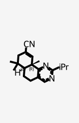 CC(C)c1ncc2c(n1)[C@@]1(C)C=C(C#N)CC(C)(C)[C@@H]1CC2